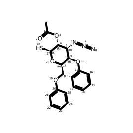 CC(=O)O[C@@H]1[C@H](N=[N+]=[N-])[C@@H](Oc2ccccc2)[C@@H](COc2ccccc2)O[C@H]1S